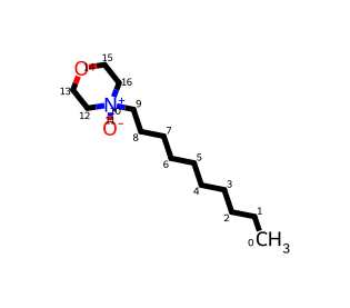 CCCCCCCCCC[N+]1([O-])CCOCC1